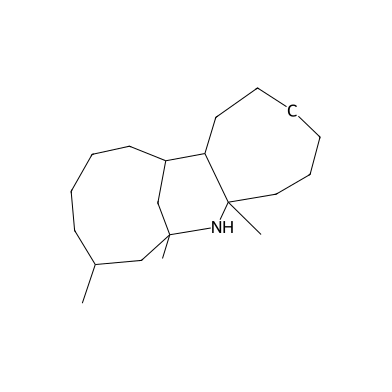 CC1CCCCC2CC(C)(C1)NC1(C)CCCCCCC21